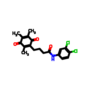 CC1=C(C)C(=O)C(CCCC(=O)Nc2ccc(Cl)c(Cl)c2)=C(C)C1=O